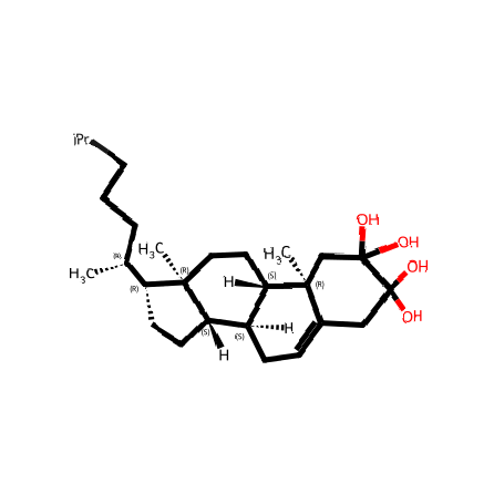 CC(C)CCC[C@@H](C)[C@H]1CC[C@H]2[C@@H]3CC=C4CC(O)(O)C(O)(O)C[C@]4(C)[C@H]3CC[C@]12C